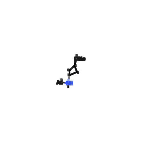 CO[C@H]1C[C@H](NC(C)=O)C1